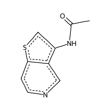 CC(=O)Nc1csc2ccncc12